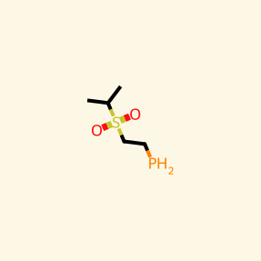 CC(C)S(=O)(=O)CCP